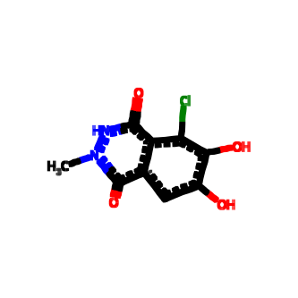 Cn1[nH]c(=O)c2c(Cl)c(O)c(O)cc2c1=O